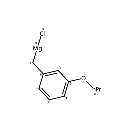 CCCOc1cccc([CH2][Mg][Cl])c1